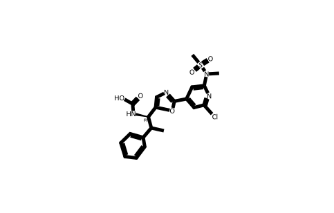 CC(c1ccccc1)[C@@H](NC(=O)O)c1cnc(-c2cc(Cl)nc(N(C)S(C)(=O)=O)c2)o1